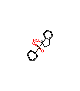 O=S(=O)(c1ccccc1)[C@@]1(O)CCc2ccccc21